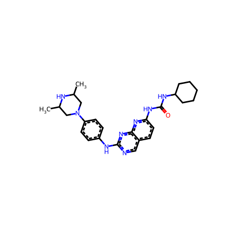 CC1CN(c2ccc(Nc3ncc4ccc(NC(=O)NC5CCCCC5)nc4n3)cc2)CC(C)N1